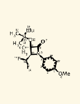 COc1ccc(N2C(=O)[C@](C)(O[Si](C)(C)C(C)(C)C)[C@@H]2C(F)F)cc1